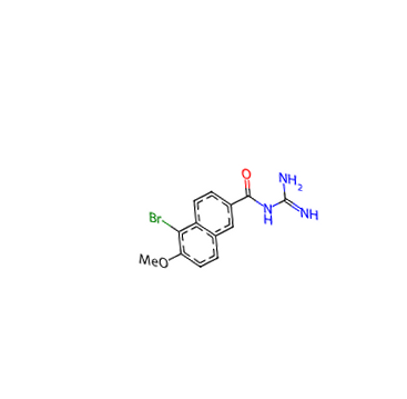 COc1ccc2cc(C(=O)NC(=N)N)ccc2c1Br